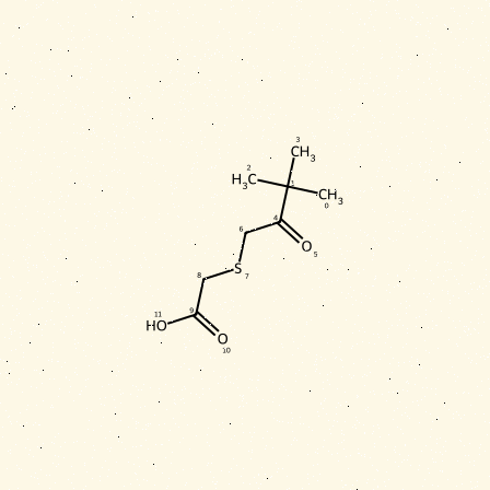 CC(C)(C)C(=O)CSCC(=O)O